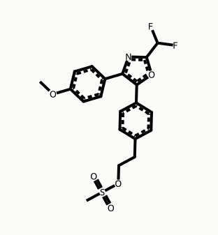 COc1ccc(-c2nc(C(F)F)oc2-c2ccc(CCOS(C)(=O)=O)cc2)cc1